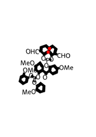 COc1ccc(C(=O)c2ccc(OC)cc2OP(Oc2ccccc2OC)Oc2ccccc2OC)c(OP(Oc2ccccc2C=O)Oc2ccccc2C=O)c1